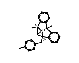 Cc1ccc(C[C@@]23c4ccccc4C4(C)c5ccccc5[C@@]5(C)C2[N+]453)cc1